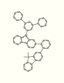 CC1(C)c2ccccc2-c2ccc(-c3ccccc3-c3ccc4c5ccccc5n(-c5cc(-c6ccccc6)cc(-c6ccccc6)c5)c4c3)cc21